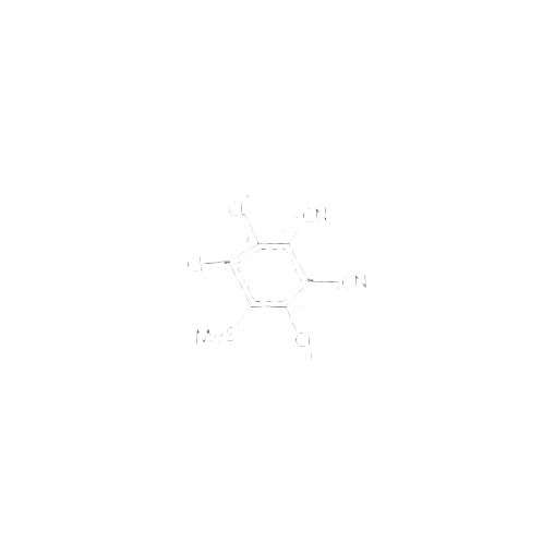 CSc1c(Cl)c(Cl)c(C#N)c(C#N)c1Cl